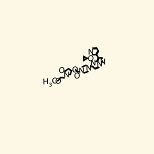 COCCN1C[C@@H](OC(=O)N2CCN(c3ccn4ncc(-c5cccnc5OC5CC5)c4n3)CC2)CC1=O